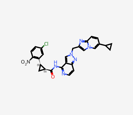 O=C(Nc1nccc2nn(Cc3cn4cc(C5CC5)ccc4n3)cc12)[C@H]1C[C@@H]1c1cc(Cl)ccc1[N+](=O)[O-]